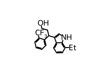 CCc1cccc2c(C(CCO)c3ccccc3C(F)(F)F)c[nH]c12